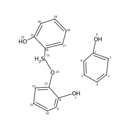 Oc1ccccc1.Oc1ccccc1O[SiH2]c1ccccc1O